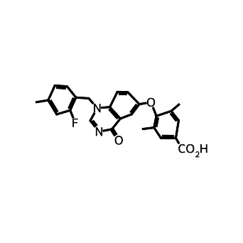 Cc1ccc(Cn2cnc(=O)c3cc(Oc4c(C)cc(C(=O)O)cc4C)ccc32)c(F)c1